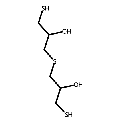 OC(CS)CSCC(O)CS